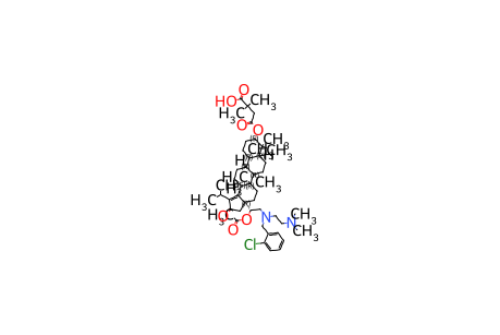 CC(=O)OC(CN(CCN(C)C)Cc1ccccc1Cl)[C@@]12CC[C@]3(C)[C@H](CC[C@@H]4[C@@]5(C)CC[C@H](OC(=O)CC(C)(C)C(=O)O)C(C)(C)[C@@H]5CC[C@]43C)C1=C(C(C)C)C(=O)C2